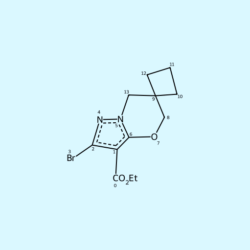 CCOC(=O)c1c(Br)nn2c1OCC1(CCC1)C2